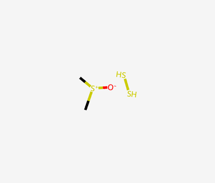 C[S+](C)[O-].SS